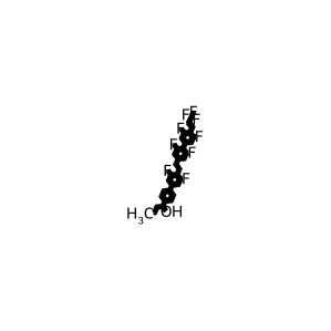 CCCC(O)c1ccc(-c2cc(F)c(CCc3cc(F)c(-c4cc(F)c(/C=C/C(F)(F)F)c(F)c4)c(F)c3)c(F)c2)cc1